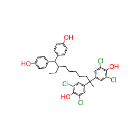 CCC(CCCCCC(C)(c1cc(Cl)c(O)c(Cl)c1)c1cc(Cl)c(O)c(Cl)c1)C(c1ccc(O)cc1)c1ccc(O)cc1